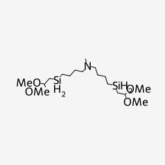 COC(C[SiH2]CCCCN(C)CCCC[SiH2]CC(OC)OC)OC